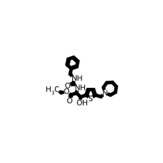 CCOC(=O)C(NC(=O)NCc1ccccc1)C(O)c1ccc(CN2CCCCCC2)s1